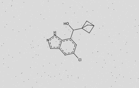 OC(c1cc(Cl)cc2cn[nH]c12)C12CC(C1)C2